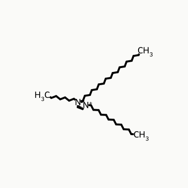 CCCCCCCCCCCCCCCCCc1n(CCCCCCC)cc[n+]1CCCCCCCCCCCCC